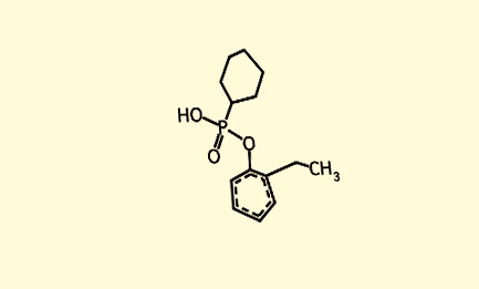 CCc1ccccc1OP(=O)(O)C1CCCCC1